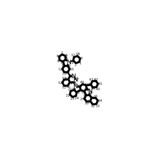 c1ccc(-n2c3ccccc3c3ccc(-c4nnc(-n5c6ccccc6c6c7c8ccc9ccccc9c8n8c9ccccc9c(cc65)c78)c5ccccc45)cc32)cc1